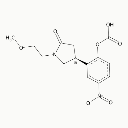 COCCN1C[C@H](c2cc([N+](=O)[O-])ccc2OC(=O)O)CC1=O